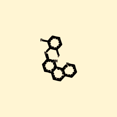 Fc1cccc(F)c1/N=c1/ccc2ccc3cccnc3c2[nH]1